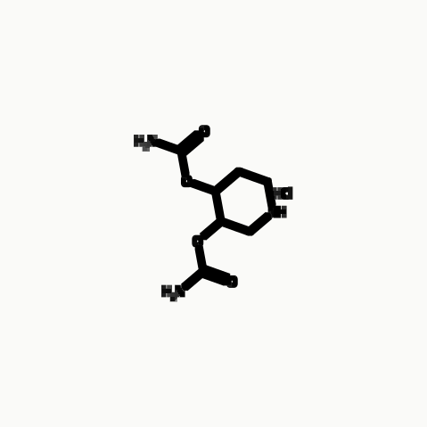 Cl.NC(=O)OC1CCNCC1OC(N)=O